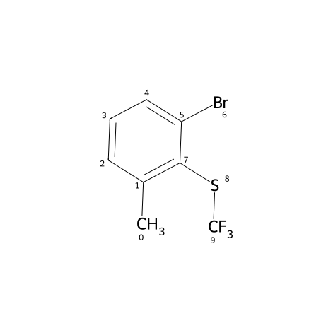 Cc1cccc(Br)c1SC(F)(F)F